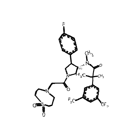 CN(C(=O)C(C)(C)c1cc(C(F)(F)F)cc(C(F)(F)F)c1)[C@@H]1CN(C(=O)CN2CCS(=O)(=O)CC2)CC1c1ccc(F)cc1